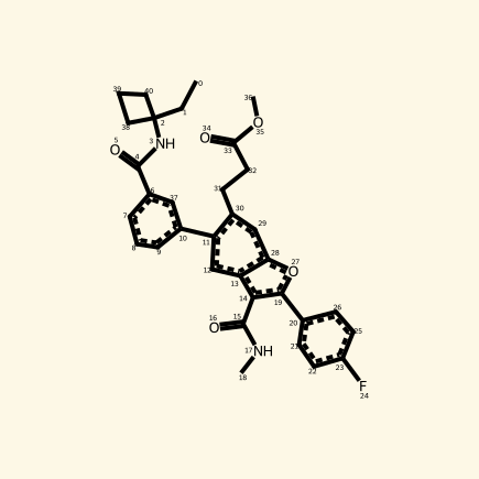 CCC1(NC(=O)c2cccc(-c3cc4c(C(=O)NC)c(-c5ccc(F)cc5)oc4cc3CCC(=O)OC)c2)CCC1